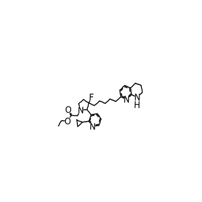 CCOC(=O)CN1CCC(F)(CCCCCc2ccc3c(n2)NCCC3)C1c1cccnc1C1CC1